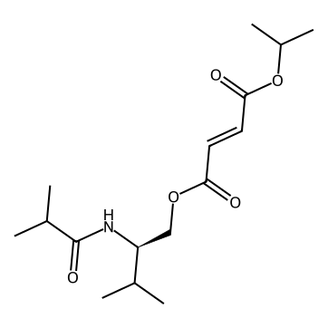 CC(C)OC(=O)/C=C/C(=O)OC[C@H](NC(=O)C(C)C)C(C)C